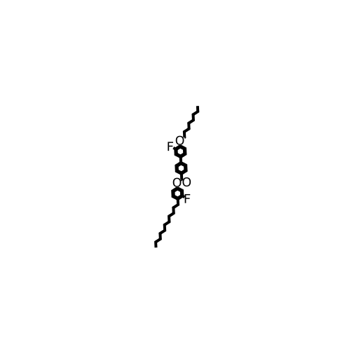 CCCCCCCCCCCc1ccc(OC(=O)c2ccc(-c3ccc(OCCCCCCCC)c(F)c3)cc2)cc1F